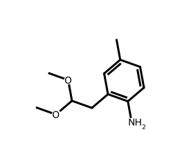 COC(Cc1cc(C)ccc1N)OC